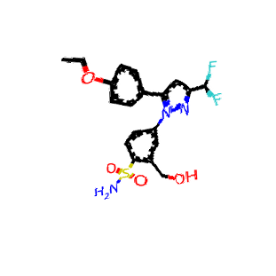 CCOc1ccc(-c2cc(C(F)F)nn2-c2ccc(S(N)(=O)=O)c(CO)c2)cc1